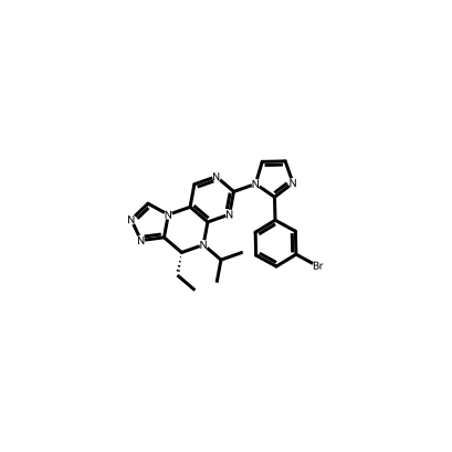 CC[C@@H]1c2nncn2-c2cnc(-n3ccnc3-c3cccc(Br)c3)nc2N1C(C)C